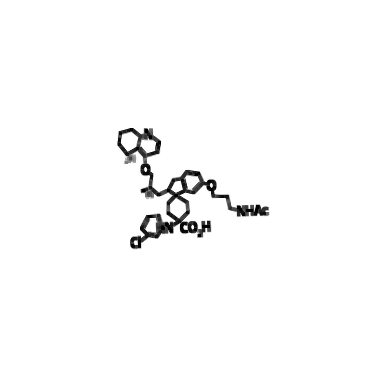 CC(=O)NCCCOc1ccc2c(c1)C1(CCC(Nc3cccc(Cl)c3)(C(=O)O)CC1)C(C[C@@H](C)COc1ccnc3c1[C@H](C)CCC3)C2